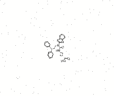 O=C(N[C@H]1C[C@@H](C(=O)O)C1)N(CCC(c1ccccc1)c1ccccc1)c1nc2ccccc2s1